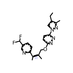 CCc1cn(-c2ccc(OC/C(C)=C(/C)c3ccc(C(F)F)cn3)nn2)nc1C